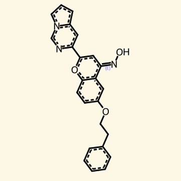 O/N=c1\cc(-c2cc3cccn3cn2)oc2ccc(OCCc3ccccc3)cc12